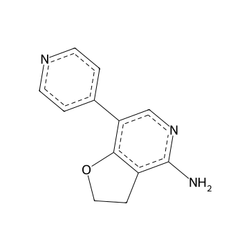 Nc1ncc(-c2ccncc2)c2c1CCO2